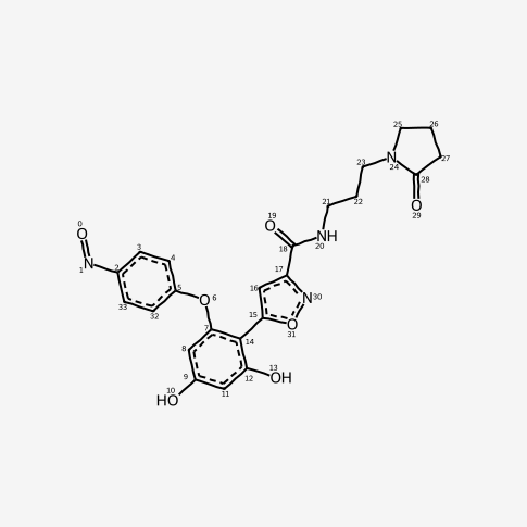 O=Nc1ccc(Oc2cc(O)cc(O)c2-c2cc(C(=O)NCCCN3CCCC3=O)no2)cc1